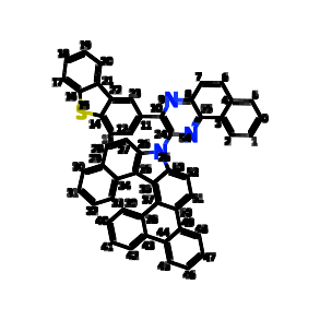 c1ccc2c(c1)ccc1nc(-c3ccc4sc5ccccc5c4c3)c(-n3c4ccc5ccccc5c4c4c5c6ccccc6c6ccccc6c5ccc43)nc12